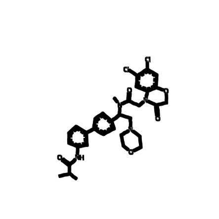 CC(C)C(=O)Nc1cccc(-c2ccc(C(CN3CCOCC3)N(C)C(=O)CN3C(=O)COc4cc(Cl)c(Cl)cc43)cc2)c1